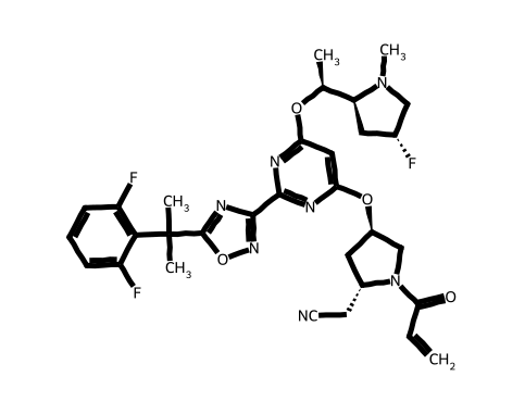 C=CC(=O)N1C[C@H](Oc2cc(O[C@@H](C)[C@@H]3C[C@@H](F)CN3C)nc(-c3noc(C(C)(C)c4c(F)cccc4F)n3)n2)C[C@H]1CC#N